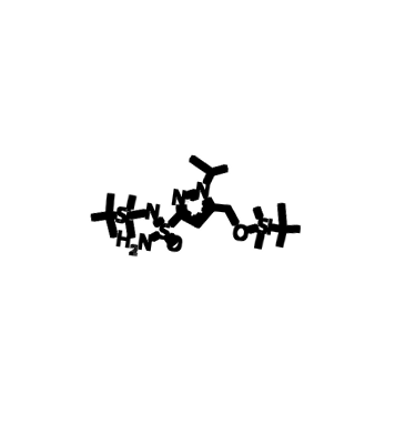 CC(C)n1nc(S(N)(=O)=N[Si](C)(C)C(C)(C)C)cc1CO[Si](C)(C)C(C)(C)C